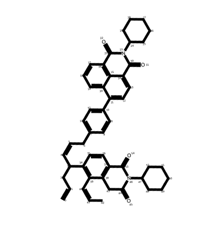 C=CCC(/C=C\Cc1ccc(-c2ccc3c4c(cccc24)C(=O)N(C2CCCCC2)C3=O)cc1)c1ccc2c(c1/C=C\C)CC(=O)N(C1CCCCC1)C2=O